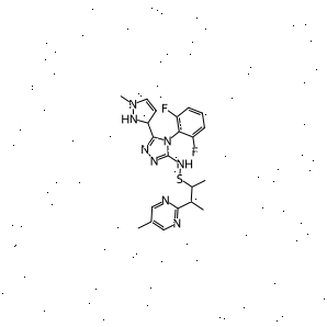 Cc1cnc(C(C)C(C)SNc2nnc(C3C=CN(C)N3)n2-c2c(F)cccc2F)nc1